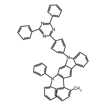 Cc1ccccc1-c1cc2c3ccccc3n(-c3ccc(-c4nc(-c5ccccc5)nc(-c5ccccc5)n4)cc3)c2cc1N(c1ccccc1)c1ccccc1